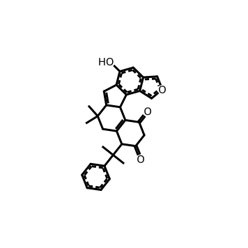 CC1(C)CC2=C(C(=O)CC(=O)C2C(C)(C)c2ccccc2)C2C1=Cc1c(O)cc3cocc3c12